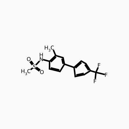 Cc1cc(-c2ccc(C(F)(F)F)cc2)ccc1NS(C)(=O)=O